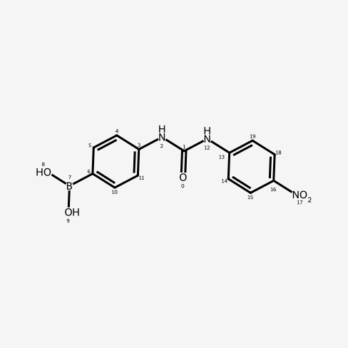 O=C(Nc1ccc(B(O)O)cc1)Nc1ccc([N+](=O)[O-])cc1